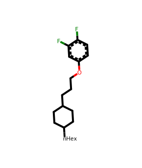 CCCCCCC1CCC(CCCOc2ccc(F)c(F)c2)CC1